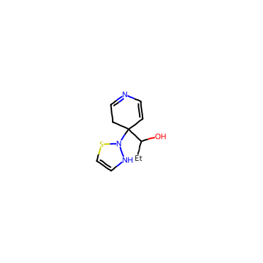 CCC(O)C1(N2NC=CS2)C=CN=CC1